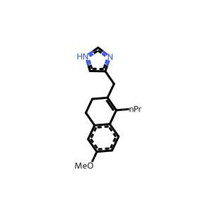 CCCC1=C(Cc2c[nH]cn2)CCc2cc(OC)ccc21